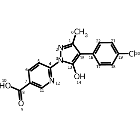 Cc1nn(-c2ccc(C(=O)O)cn2)c(O)c1-c1ccc(Cl)cc1